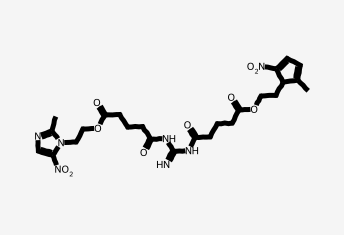 CC1=CC=C([N+](=O)[O-])C1CCOC(=O)CCCC(=O)NC(=N)NC(=O)CCCC(=O)OCCn1c([N+](=O)[O-])cnc1C